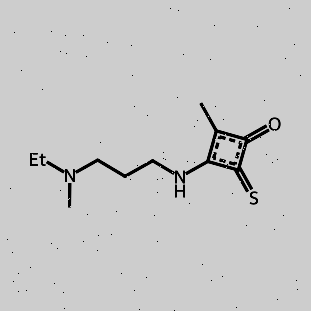 CCN(C)CCCNc1c(C)c(=O)c1=S